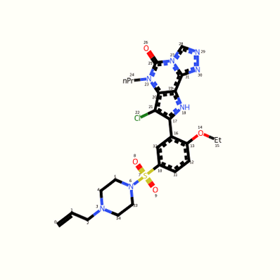 C=CCN1CCN(S(=O)(=O)c2ccc(OCC)c(-c3[nH]c4c(c3Cl)n(CCC)c(=O)n3cnnc43)c2)CC1